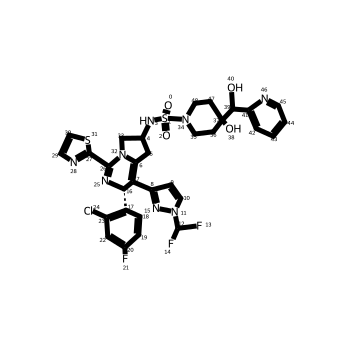 O=S(=O)(NC1CC2=C(c3ccn(C(F)F)n3)[C@H](c3ccc(F)cc3Cl)N=C(c3nccs3)N2C1)N1CCC(O)(C(O)c2ccccn2)CC1